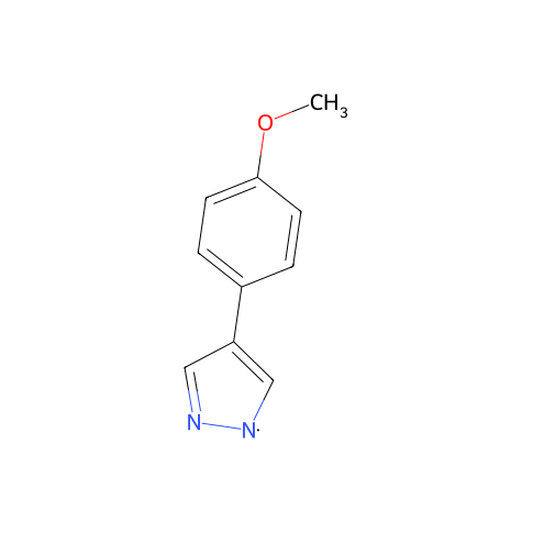 COc1ccc(C2=C[N]N=C2)cc1